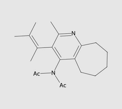 CC(=O)N(C(C)=O)c1c2c(nc(C)c1C(C)=C(C)C)CCCCC2